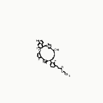 CCOC(=O)CCc1cccc(C2CCCCC(O)c3cn(nn3)Cc3c(c(F)cc4[nH]ccc34)Oc3ccc(F)c(c3)-c3ncc2[nH]3)c1F